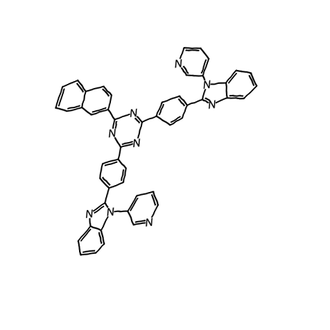 c1cncc(-n2c(-c3ccc(-c4nc(-c5ccc(-c6nc7ccccc7n6-c6cccnc6)cc5)nc(-c5ccc6ccccc6c5)n4)cc3)nc3ccccc32)c1